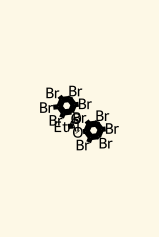 C[CH2][Al]([O]c1c(Br)c(Br)c(Br)c(Br)c1Br)[O]c1c(Br)c(Br)c(Br)c(Br)c1Br